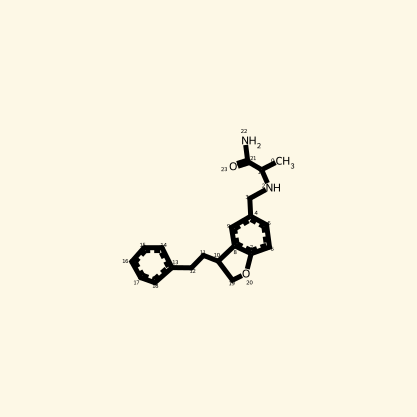 CC(NCc1ccc2c(c1)C(CCc1ccccc1)CO2)C(N)=O